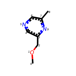 COCc1cncc(C)n1